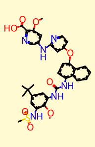 COc1cc(Nc2cc(Oc3ccc(NC(=O)Nc4cc(C(C)(C)C)cc(NS(C)(=O)=O)c4OC)c4ccccc34)ccn2)cnc1C(=O)O